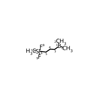 CB(C)CCC[Si](C)(F)F